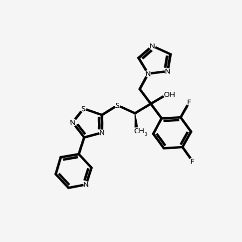 C[C@@H](Sc1nc(-c2cccnc2)ns1)C(O)(Cn1cncn1)c1ccc(F)cc1F